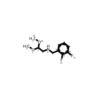 COC(CNCc1cccc(F)c1F)OC